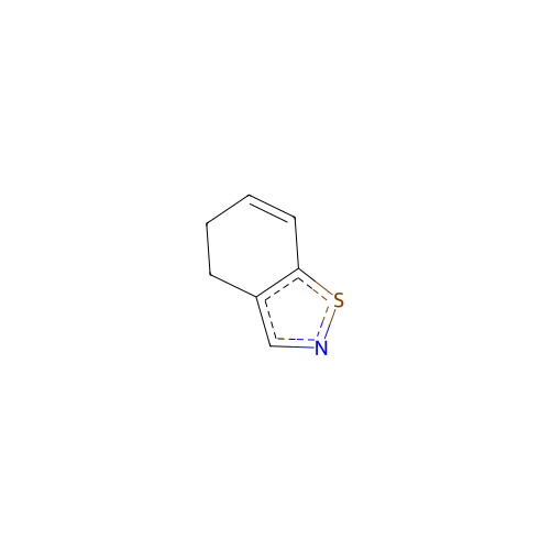 C1=Cc2sncc2CC1